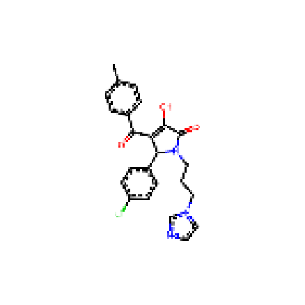 Cc1ccc(C(=O)C2=C(O)C(=O)N(CCCn3ccnc3)C2c2ccc(Cl)cc2)cc1